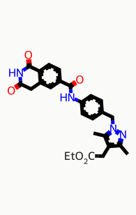 CCOC(=O)Cc1c(C)nn(Cc2ccc(NC(=O)c3ccc4c(c3)CC(=O)NC4=O)cc2)c1C